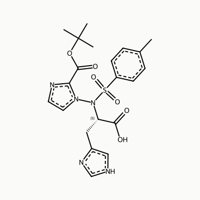 Cc1ccc(S(=O)(=O)N([C@@H](Cc2c[nH]cn2)C(=O)O)n2ccnc2C(=O)OC(C)(C)C)cc1